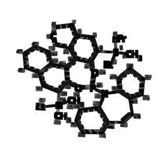 CCCS(C)(CC)c1cc2ccccc2c2c1op(N1c3ccccc3C=Cc3ccccc31)oc1c([Si](C)(C)CC)cc3ccccc3c12